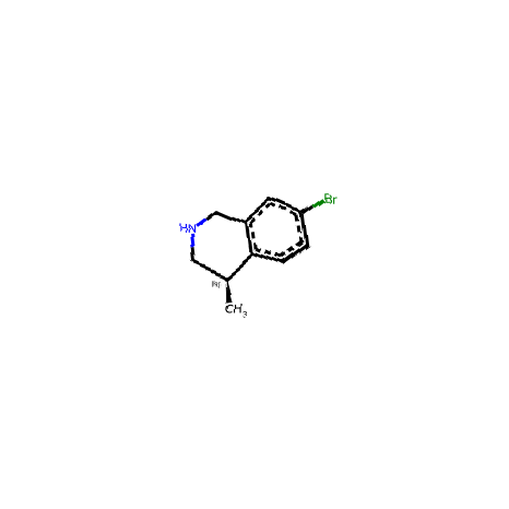 C[C@H]1CNCc2cc(Br)ccc21